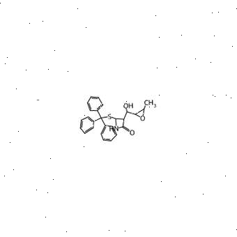 CC1OC1C(O)C1C(=O)NC1SC(c1ccccc1)(c1ccccc1)c1ccccc1